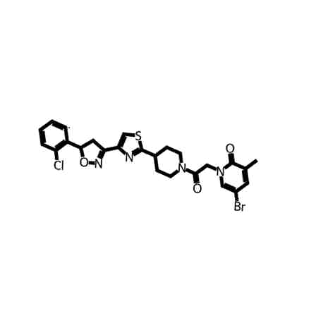 Cc1cc(Br)cn(CC(=O)N2CCC(c3nc(C4=NOC(c5[c]cccc5Cl)C4)cs3)CC2)c1=O